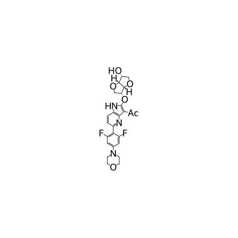 CC(=O)c1c(O[C@@H]2CO[C@H]3[C@@H]2OC[C@H]3O)[nH]c2ccc(-c3c(F)cc(N4CCOCC4)cc3F)nc12